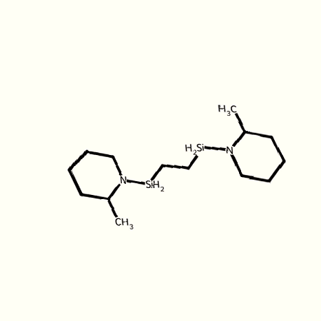 CC1CCCCN1[SiH2]CC[SiH2]N1CCCCC1C